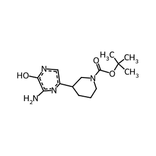 CC(C)(C)OC(=O)N1CCCC(c2cnc(O)c(N)n2)C1